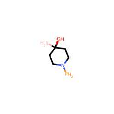 BC1(O)CCN(P)CC1